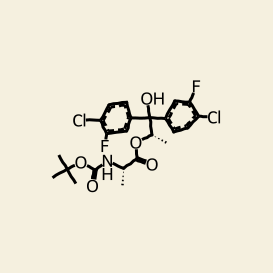 C[C@H](NC(=O)OC(C)(C)C)C(=O)O[C@@H](C)C(O)(c1ccc(Cl)c(F)c1)c1ccc(Cl)c(F)c1